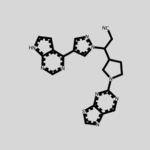 N#CCC(C1CCN(c2ncc3ncsc3n2)C1)n1cc(-c2ncnc3[nH]ccc23)cn1